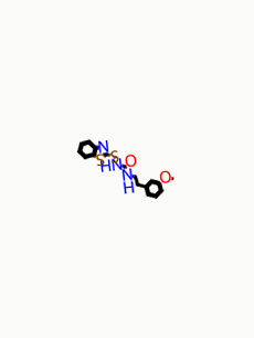 COc1cccc(CCNC(=O)NSc2nc3ccccc3s2)c1